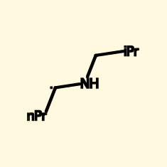 CCC[CH]NCC(C)C